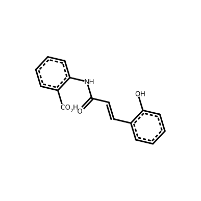 O=C(/C=C/c1ccccc1O)Nc1ccccc1C(=O)O